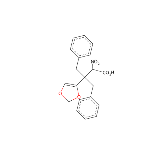 O=C(O)C([N+](=O)[O-])C(Cc1ccccc1)(Cc1ccccc1)C1=COCO1